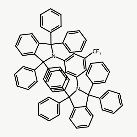 FC(F)(F)c1cc(N2C(c3ccccc3)(c3ccccc3)c3ccccc3C2(c2ccccc2)c2ccccc2)cc(N2C(c3ccccc3)(c3ccccc3)c3ccccc3C2(c2ccccc2)c2ccccc2)c1